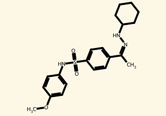 COc1ccc(NS(=O)(=O)c2ccc(/C(C)=N\NC3CCCCC3)cc2)cc1